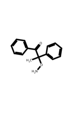 CC(ON)(C(=O)c1ccccc1)c1ccccc1